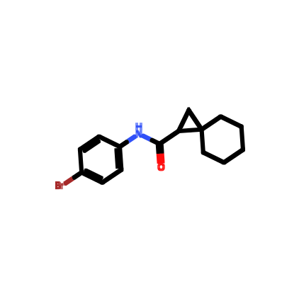 O=C(Nc1ccc(Br)cc1)C1CC12CCCCC2